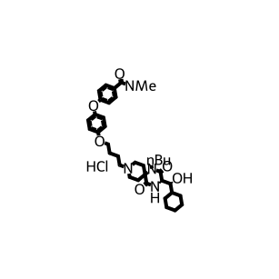 CCCCN1C(=O)[C@@H]([C@H](O)C2CCCCC2)NC(=O)C12CCN(CCCCOc1ccc(Oc3ccc(C(=O)NC)cc3)cc1)CC2.Cl